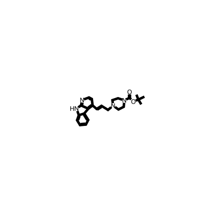 CC(C)(C)OC(=O)N1CCN(C/C=C/c2ccnc3[nH]c4ccccc4c23)CC1